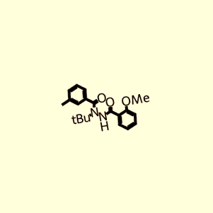 COc1ccccc1C(=O)NN(C(=O)c1cccc(C)c1)C(C)(C)C